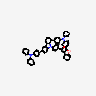 C1=CC(N(c2ccccc2)c2ccc(-c3cccc4c5cc(-c6ccc(N(c7ccccc7)c7ccccc7)cc6)ccc5n(-c5ccc(-c6ccc7oc8ccccc8c7c6)cc5)c34)cc2)=CCC1